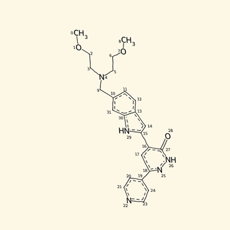 COCCN(CCOC)Cc1ccc2cc(-c3cc(-c4ccncc4)n[nH]c3=O)[nH]c2c1